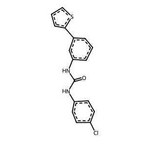 O=C(Nc1ccc(Cl)cc1)Nc1cccc(-c2cccs2)c1